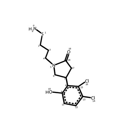 NSCCCN1CC(c2c(O)ccc(Cl)c2Cl)CC1=O